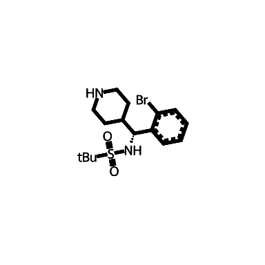 CC(C)(C)S(=O)(=O)N[C@@H](c1ccccc1Br)C1CCNCC1